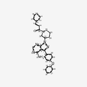 Nc1ncnc2c1c(-c1ccc(Oc3ccccc3)cc1)nn2C1CCCN(C(=O)C=Cc2ccncc2)C1